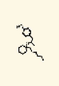 CCCCCCC1(OC(C)Cc2ccc(O)cc2)CCCCC1